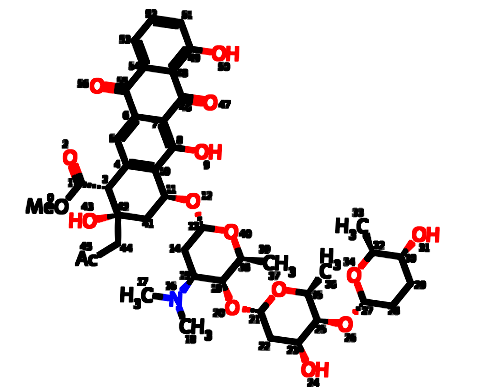 COC(=O)[C@@H]1c2cc3c(c(O)c2[C@@H](O[C@H]2C[C@H](N(C)C)[C@H](O[C@H]4C[C@H](O)[C@H](O[C@H]5CC[C@H](O)[C@H](C)O5)[C@H](C)O4)[C@H](C)O2)C[C@]1(O)CC(C)=O)C(=O)c1c(O)cccc1C3=O